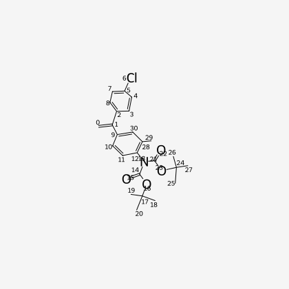 C=C(c1ccc(Cl)cc1)c1ccc(N(C(=O)OC(C)(C)C)C(=O)OC(C)(C)C)c(C)c1